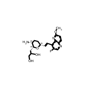 COc1ccc2ncc(F)c(C=C[C@H]3CC[C@@H](N)[C@@H](CC(O)CO)O3)c2n1